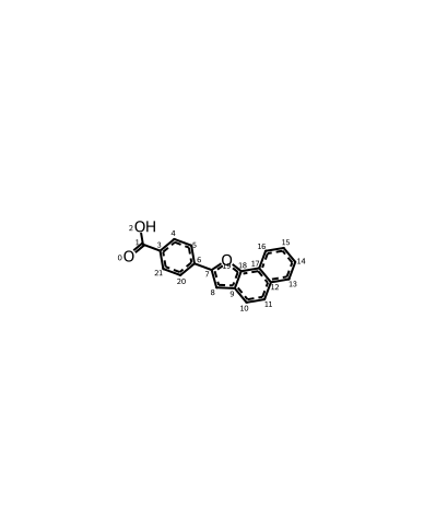 O=C(O)c1ccc(-c2cc3ccc4ccccc4c3o2)cc1